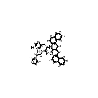 O=C(N[C@@H](Cc1c[nH]cn1)C(=O)NCCn1ccnc1)C(Cc1cccc2ccccc12)Cc1cccc2ccccc12